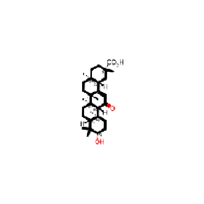 CC1(C)[C@@H](O)CC[C@]2(C)[C@H]3C(=O)C=C4[C@H]5C[C@@](C)(C(=O)O)CC[C@]5(C)CC[C@@]4(C)[C@]3(C)CC[C@@H]12